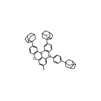 Cc1cc2c3c(c1)N(c1ccc(C45CC6CC(C4)C(C6)C5)cc1)c1ccc(C45CC6CC(CC4C6)C5)cc1B3c1cc(C34CC5CC(CC3C5)C4)ccc1O2